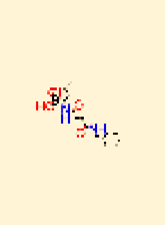 CC(C)CC(NC(=O)C=CC(=O)NCC1CCCCC1)B(O)O